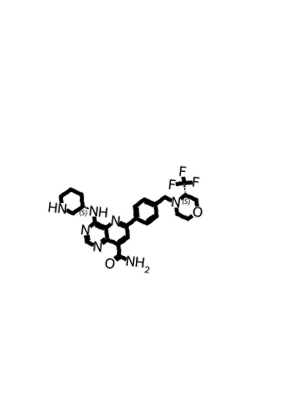 NC(=O)c1cc(-c2ccc(CN3CCOC[C@H]3C(F)(F)F)cc2)nc2c(N[C@H]3CCCNC3)ncnc12